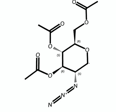 CC(=O)OC[C@H]1O[CH][C@H](N=[N+]=[N-])[C@@H](OC(C)=O)[C@@H]1OC(C)=O